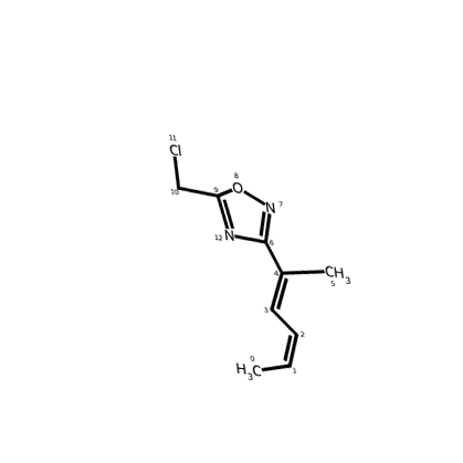 C/C=C\C=C(/C)c1noc(CCl)n1